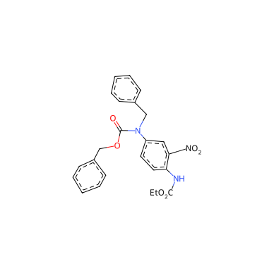 CCOC(=O)Nc1ccc(N(Cc2ccccc2)C(=O)OCc2ccccc2)cc1[N+](=O)[O-]